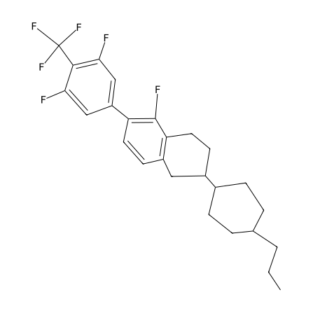 CCCC1CCC(C2CCc3c(ccc(-c4cc(F)c(C(F)(F)F)c(F)c4)c3F)C2)CC1